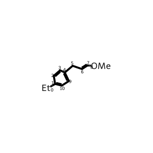 CCc1ccc(CC=COC)cc1